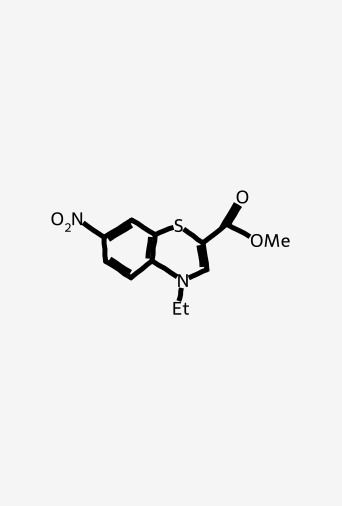 CCN1C=C(C(=O)OC)Sc2cc([N+](=O)[O-])ccc21